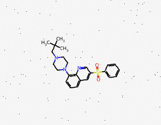 CC(C)(C)CN1CCN(c2cccc3cc(S(=O)(=O)c4ccccc4)cnc23)CC1